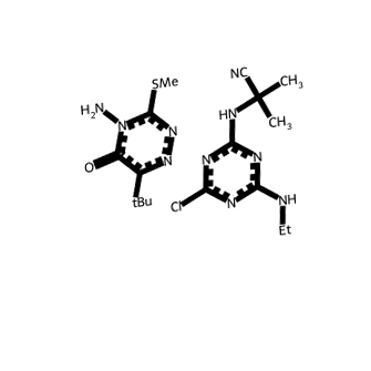 CCNc1nc(Cl)nc(NC(C)(C)C#N)n1.CSc1nnc(C(C)(C)C)c(=O)n1N